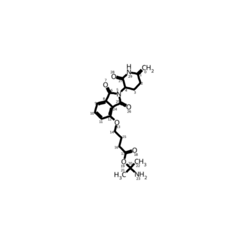 C=C1CCC(N2C(=O)c3cccc(OCCCC(=O)OC(C)(C)N)c3C2=O)C(=O)N1